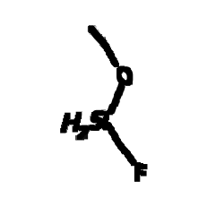 CO[SiH2]F